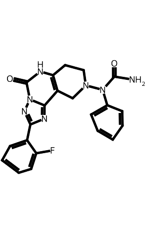 NC(=O)N(c1ccccc1)N1CCc2[nH]c(=O)n3nc(-c4ccccc4F)nc3c2C1